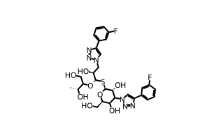 C[C@@H](O)C(CO)O[C@@H](S[C@@H]1O[C@H](CO)C(O)C(n2cc(-c3cccc(F)c3)nn2)[C@H]1O)[C@@H](O)Cn1cc(-c2cccc(F)c2)nn1